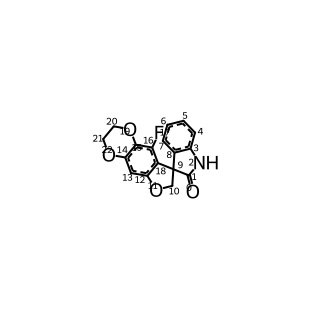 O=C1Nc2ccccc2C12COc1cc3c(c(F)c12)OCCO3